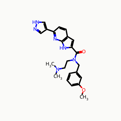 COc1cccc(CN(CCN(C)C)C(=O)c2cc3ccc(-c4cn[nH]c4)nc3[nH]2)c1